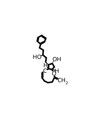 C=C1CCC/C=C\C[C@@H]2[C@@H](CC[C@@H](O)CCc3ccccc3)[C@H](O)C[C@@H]2O1